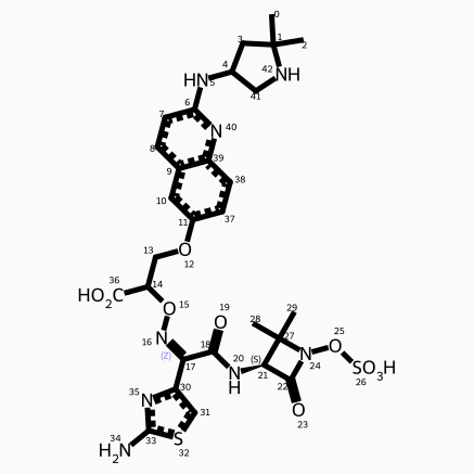 CC1(C)CC(Nc2ccc3cc(OCC(O/N=C(\C(=O)N[C@@H]4C(=O)N(OS(=O)(=O)O)C4(C)C)c4csc(N)n4)C(=O)O)ccc3n2)CN1